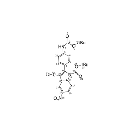 CC(C)(C)OC(=O)Nc1ccc(-c2c(C=O)c3cc([N+](=O)[O-])ccc3n2C(=O)OC(C)(C)C)cc1